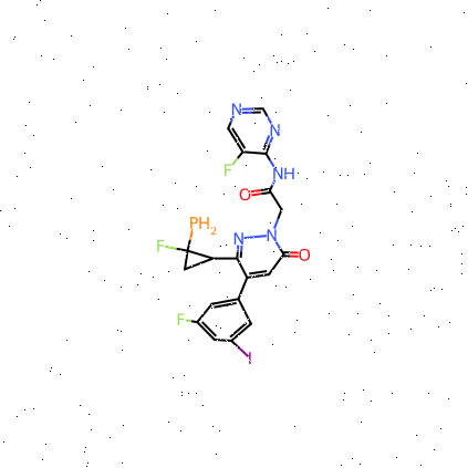 O=C(Cn1nc(C2CC2(F)P)c(-c2cc(F)cc(I)c2)cc1=O)Nc1ncncc1F